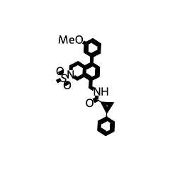 COc1cccc(-c2ccc(CNC(=O)[C@@H]3C[C@@H]3c3ccccc3)c3c2CCN(S(C)(=O)=O)C3)c1